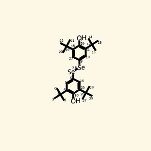 CC(C)(C)c1cc([Se][Se]c2cc(C(C)(C)C)c(O)c(C(C)(C)C)c2)cc(C(C)(C)C)c1O